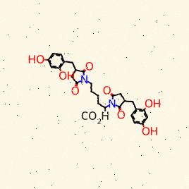 O=C(O)C(CCCCN1C(=O)CC(Cc2ccc(O)cc2O)C1=O)N1C(=O)CC(Cc2ccc(O)cc2O)C1=O